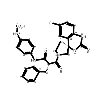 O=C(O)Nc1ccc(NC(=O)[C@@H](Cc2ccccc2)C(=O)N2CC[C@@]3(C2)OC(=O)Nc2ccc(Cl)cc23)cc1